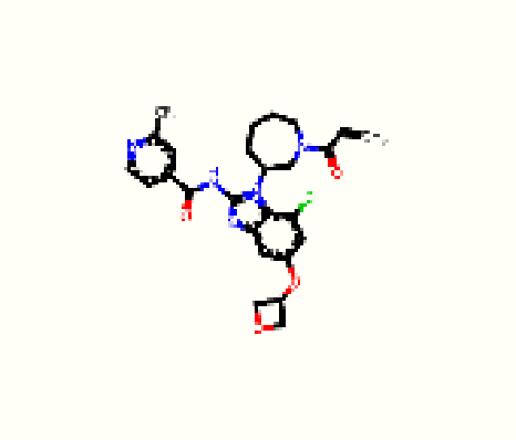 C=CC(=O)N1CCCCC(n2c(NC(=O)c3ccnc(C(F)(F)F)c3)nc3cc(OC4COC4)cc(Cl)c32)C1